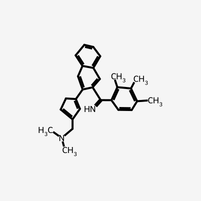 Cc1ccc(C(=N)c2cc3ccccc3cc2C2=CC(CN(C)C)=CC2)c(C)c1C